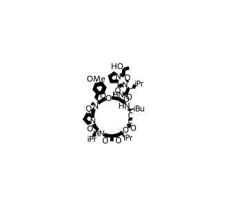 CC[C@H](C)[C@@H]1CCC(=O)O[C@@H](C(C)C)C(=O)C(C)C(=O)N[C@@H](CC(C)C)C(=O)N2CCC[C@@]2(C)C(=O)N(C)[C@@H](Cc2ccc(OC)cc2)C(=O)O[C@H](C)C(NC(=O)[C@@H](CC(C)C)N(C)C(=O)[C@@H]2CCCN2C(=O)C(C)O)C(=O)N1